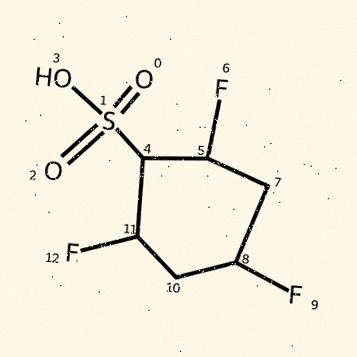 O=S(=O)(O)C1C(F)CC(F)CC1F